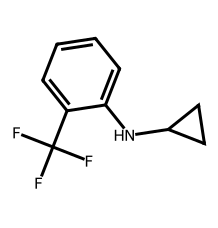 FC(F)(F)c1ccccc1NC1CC1